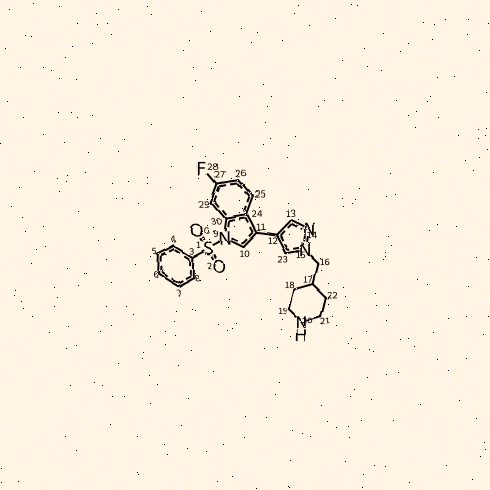 O=S(=O)(c1ccccc1)n1cc(-c2cnn(CC3CCNCC3)c2)c2ccc(F)cc21